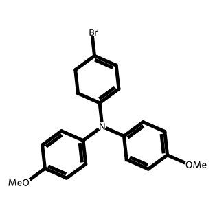 COc1ccc(N(C2=CC=C(Br)CC2)c2ccc(OC)cc2)cc1